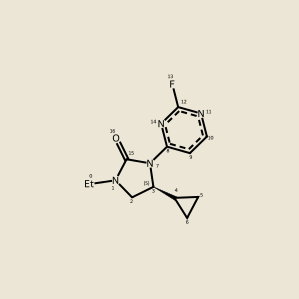 CCN1C[C@H](C2CC2)N(c2ccnc(F)n2)C1=O